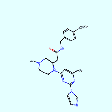 COc1ccc(CNC(=O)CC2CN(C(C)=O)CCN2c2cc(C(C)C)nc(-n3ccnc3)n2)cc1